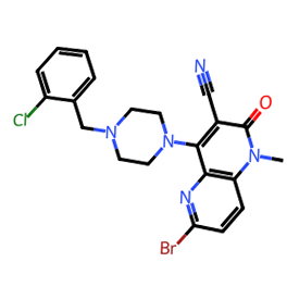 Cn1c(=O)c(C#N)c(N2CCN(Cc3ccccc3Cl)CC2)c2nc(Br)ccc21